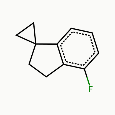 Fc1cccc2c1CCC21CC1